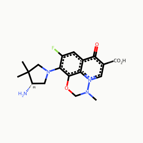 CN1COc2c(N3C[C@H](N)C(C)(C)C3)c(F)cc3c(=O)c(C(=O)O)cn1c23